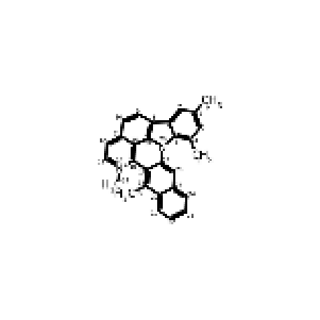 Cc1cc(C)c2c(c1)c1ccc3cc[n+](C)c4c5c(C)c6ccccc6cc5n2c1c34